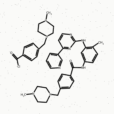 CN1CCN(Cc2ccc(C(=O)Cl)cc2)CC1.Cc1ccc(NC(=O)c2ccc(CN3CCN(C)CC3)cc2)cc1Nc1nccc(-c2cccnc2)n1